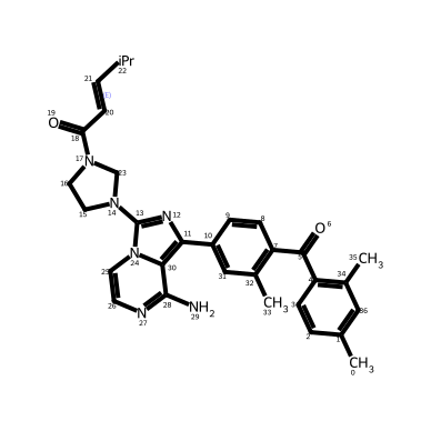 Cc1ccc(C(=O)c2ccc(-c3nc(N4CCN(C(=O)/C=C/C(C)C)C4)n4ccnc(N)c34)cc2C)c(C)c1